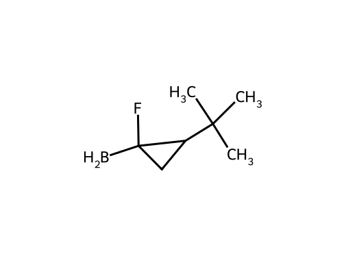 BC1(F)CC1C(C)(C)C